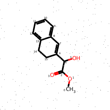 COC(=O)C(O)C1=Cc2ccccc2CC1